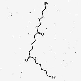 CC(C)CCCCCOC(=O)CCCCCC(=O)OCCCCCC(C)C